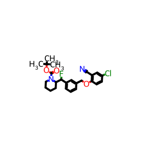 CC(C)(C)OC(=O)N1CCCCC1C(F)c1cccc(COc2ccc(Cl)cc2C#N)c1